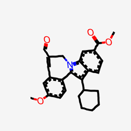 COC(=O)c1ccc2c(C3CCCCC3)c3n(c2c1)CC(C=O)=Cc1cc(OC)ccc1-3